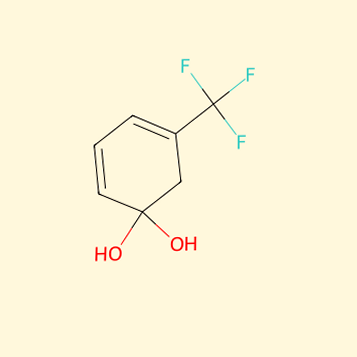 OC1(O)C=CC=C(C(F)(F)F)C1